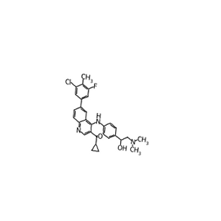 Cc1c(F)cc(-c2ccc3ncc(C(=O)C4CC4)c(Nc4ccc(C(O)CN(C)C)cc4)c3c2)cc1Cl